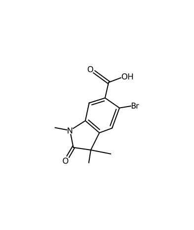 CN1C(=O)C(C)(C)c2cc(Br)c(C(=O)O)cc21